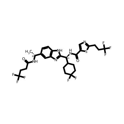 C[C@@H](NC(=O)CCC(F)(F)F)c1ccc2[nH]c([C@@H](NC(=O)c3cnc(CCC(F)(F)F)s3)C3CCC(F)(F)CC3)nc2c1